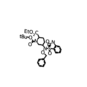 CCOC(=O)C1CCC(N(OCc2ccccc2)S(=O)(=O)c2ccccc2[N+](=O)[O-])CN1C(=O)OC(C)(C)C